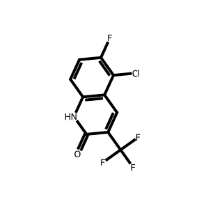 O=c1[nH]c2ccc(F)c(Cl)c2cc1C(F)(F)F